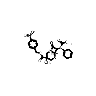 CC(=O)N(C1=CCC=CC1)C1C(=O)N2CC(C)(C(=O)OCc3ccc([N+](=O)[O-])cc3)CS[C@H]12